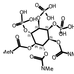 CNC(=O)O[C@@H]1[C@@H](OC(=O)NC)[C@H](OP(=O)(O)O)[C@@H](OP(=O)(O)O)[C@@H](OP(=O)(O)O)[C@H]1OC(=O)NC